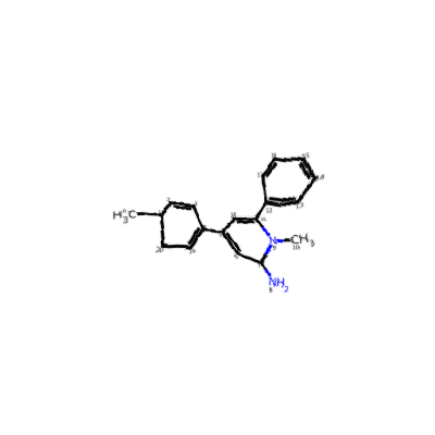 CC1C=CC(C2=CC(N)N(C)C(c3ccccc3)=C2)=CC1